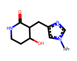 CCCn1cnc(CC2C(=O)NCCC2O)c1